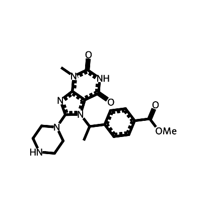 COC(=O)c1ccc(C(C)n2c(N3CCNCC3)nc3c2c(=O)[nH]c(=O)n3C)cc1